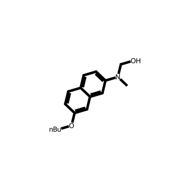 CCCCOc1ccc2ccc(N(C)CO)cc2c1